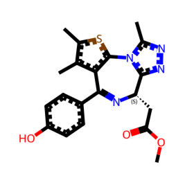 COC(=O)C[C@@H]1N=C(c2ccc(O)cc2)c2c(sc(C)c2C)-n2c(C)nnc21